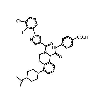 CN(C)C1CCN(c2cccc3c2CCN(C(=O)c2cnn(-c4cccc(Cl)c4F)c2)[C@H]3C(=O)Nc2ccc(C(=O)O)cc2)CC1